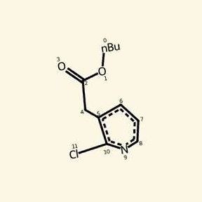 CCCCOC(=O)Cc1cccnc1Cl